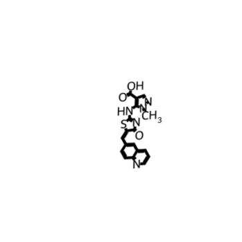 Cn1ncc(C(=O)O)c1NC1=NC(=O)C(=Cc2ccc3ncccc3c2)S1